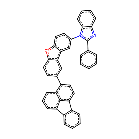 c1ccc(-c2nc3ccccc3n2-c2ccc3oc4ccc(-c5ccc6c7c(cccc57)-c5ccccc5-6)cc4c3c2)cc1